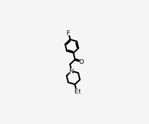 [CH2]CC1CCN(CC(=O)c2ccc(F)cc2)CC1